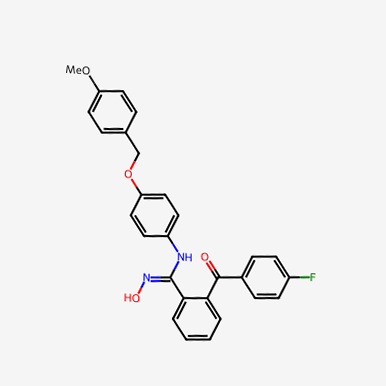 COc1ccc(COc2ccc(NC(=NO)c3ccccc3C(=O)c3ccc(F)cc3)cc2)cc1